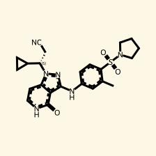 Cc1cc(Nc2nn([C@@H](CC#N)C3CC3)c3cc[nH]c(=O)c23)ccc1S(=O)(=O)N1CCCC1